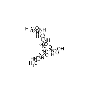 COC(=O)NC(=N)c1ccc2[nH]c(S(=O)(=O)N3CCN(C(=O)c4nc5c(s4)CNC(C)C5)C(CC(=O)NCC(=O)O)C3)cc2c1